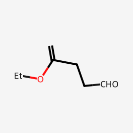 C=C(CCC=O)OCC